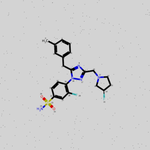 Cc1cccc(Cc2nc(CN3CC[C@@H](F)C3)nn2-c2ccc(S(N)(=O)=O)cc2F)c1